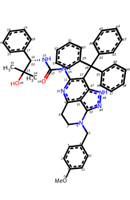 COc1ccc(CN2CCc3nc(NC(=O)N[C@@H](c4ccccc4)C(C)(C)O)c(C(c4ccccc4)(c4ccccc4)c4ccccc4)c4[nH]nc2c34)cc1